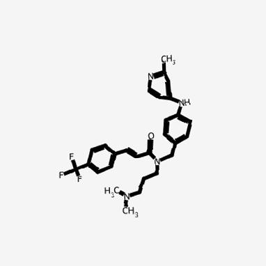 Cc1cc(Nc2ccc(CN(CCCN(C)C)C(=O)/C=C/c3ccc(C(F)(F)F)cc3)cc2)ccn1